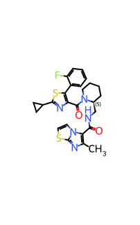 Cc1nc2sccn2c1C(=O)NC[C@@H]1CCCCN1C(=O)c1nc(C2CC2)sc1-c1ccccc1F